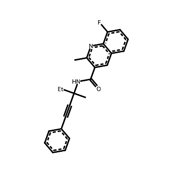 CCC(C)(C#Cc1ccccc1)NC(=O)c1cc2cccc(F)c2nc1C